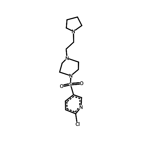 O=S(=O)(c1ccc(Cl)nc1)N1CCN(CCN2CCCC2)CC1